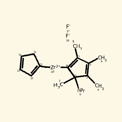 CCCC1(C)C(C)=C(C)C(C)=[C]1[Zr+2][C]1=CC=CC1.[F-].[F-]